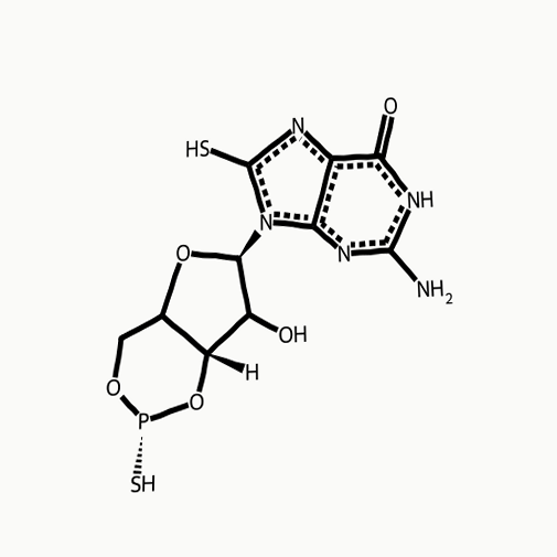 Nc1nc2c(nc(S)n2[C@@H]2OC3CO[P@@](S)O[C@H]3C2O)c(=O)[nH]1